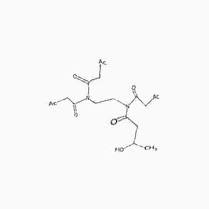 CC(=O)CC(=O)N(CCN(C(=O)CC(C)=O)C(=O)CC(C)O)C(=O)CC(C)=O